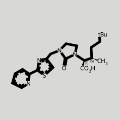 C[C@@H](CCC(C)(C)C)[C@@H](C(=O)O)N1CCN(Cc2csc(-c3ccccn3)n2)C1=O